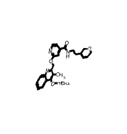 CCCCOc1c(C)c(COc2cc(C(=O)NCCC3CCCOC3)ccn2)nc2ccccc12